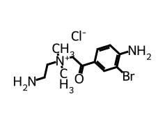 C[N+](C)(CCN)CC(=O)c1ccc(N)c(Br)c1.[Cl-]